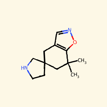 CC1(C)CC2(CCNC2)Cc2cnoc21